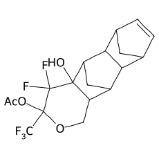 CC(=O)OC1(C(F)(F)F)OCC2C3CC(C4C5C=CC(C5)C34)C2(O)C1(F)F